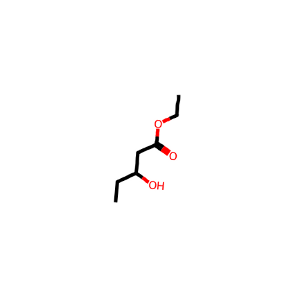 CCOC(=O)CC(O)CC